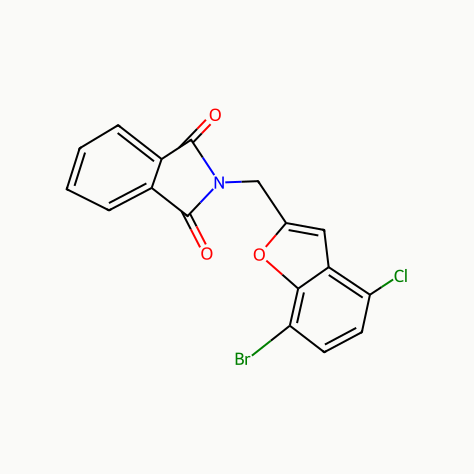 O=C1c2ccccc2C(=O)N1Cc1cc2c(Cl)ccc(Br)c2o1